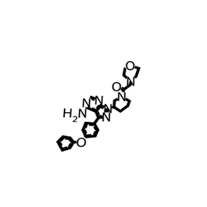 Nc1ncnc2c1c(-c1ccc(Oc3ccccc3)cc1)nn2C1CCCN(C(=O)CN2CCOCC2)C1